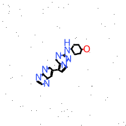 COC1CCC(Nc2ncc3c(-c4cnc5nccnc5c4)ccn3n2)CC1